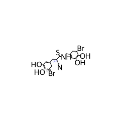 N#C/C(=C\C1=CC(O)=C(O)[C@H](Br)C1)C(=S)NCc1cc(O)c(O)c(Br)c1